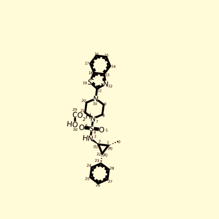 C[C@H]1[C@H](NS(=O)(=O)N2CCN(c3nc4ccccc4s3)CC2)[C@H]1c1ccccc1.O=C(O)O